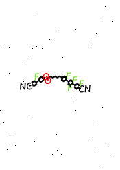 N#Cc1ccc(-c2ccc(OC(=O)CCCCCc3ccc(-c4cc(F)c(-c5ccc(C#N)c(F)c5)c(F)c4)c(F)c3)cc2F)cc1